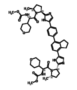 COC(=O)N[C@H](C(=O)N1[C@@H](C)CC[C@H]1c1ncc(-c2ccc(-c3ccc(-c4cnc([C@@H]5CC[C@H](C)N5C(=O)[C@@H](NC(=O)OC)C5CCOCC5)[nH]4)c4c3CCC4)cc2)[nH]1)C1CCOCC1